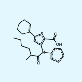 CCCCC(C)C(=O)N(c1ccccc1)c1cc(C2=CCCCC2)sc1C(=O)O